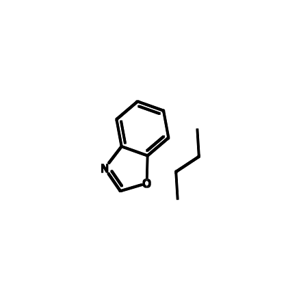 CCCC.c1ccc2ocnc2c1